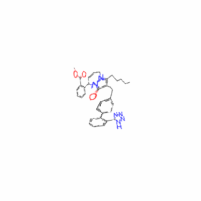 CCCCCc1c(Cc2ccc(-c3ccccc3-c3nnn[nH]3)cc2)c(=O)n2n1CC=CC2c1ccccc1C(=O)OC